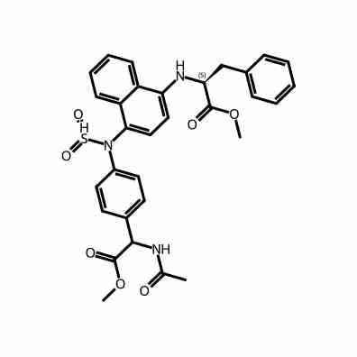 COC(=O)C(NC(C)=O)c1ccc(N(c2ccc(N[C@@H](Cc3ccccc3)C(=O)OC)c3ccccc23)[SH](=O)=O)cc1